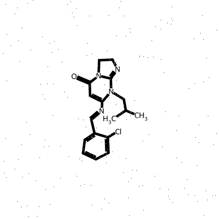 CC(C)CN1C(/N=C/c2ccccc2Cl)=CC(=O)N2CCN=C21